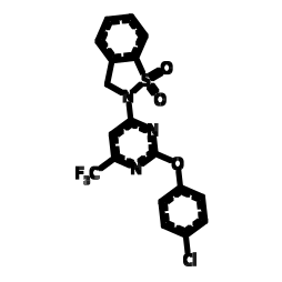 O=S1(=O)c2ccccc2CN1c1cc(C(F)(F)F)nc(Oc2ccc(Cl)cc2)n1